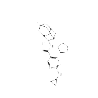 O=C(N[C@H]1C2CC3CC1C[C@@](O)(C3)C2)c1cnc(NC2CC2)nc1[C@@H]1CCCO1